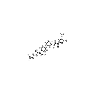 CC(C(=O)Nc1cc(C2CC2)[nH]n1)c1cccc(-c2ccc3c(c2)CCN3C(=O)C=CCN(C)C)c1